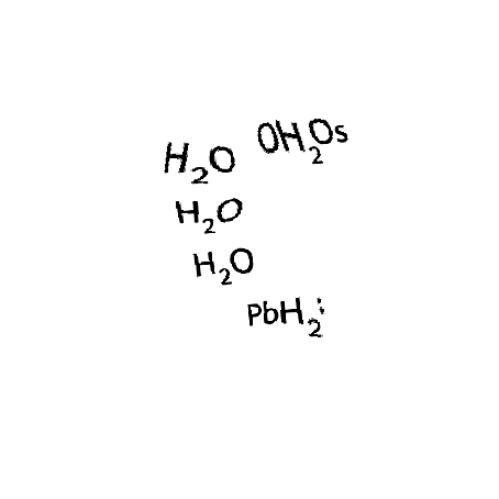 O.O.O.O.[Os].[PbH2]